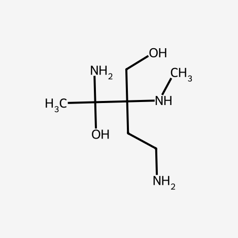 CNC(CO)(CCN)C(C)(N)O